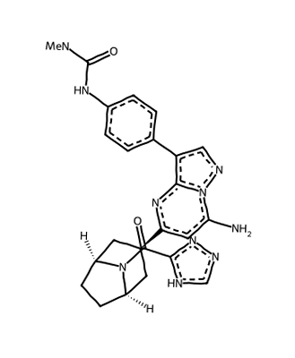 CNC(=O)Nc1ccc(-c2cnn3c(N)cc([C@H]4C[C@H]5CC[C@@H](C4)N5C(=O)c4nnc[nH]4)nc23)cc1